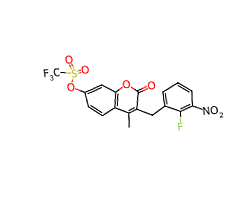 Cc1c(Cc2cccc([N+](=O)[O-])c2F)c(=O)oc2cc(OS(=O)(=O)C(F)(F)F)ccc12